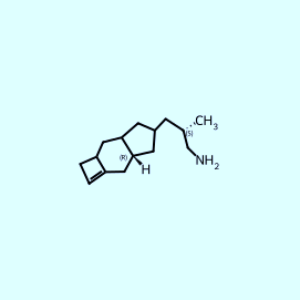 C[C@H](CN)CC1CC2CC3CC=C3C[C@H]2C1